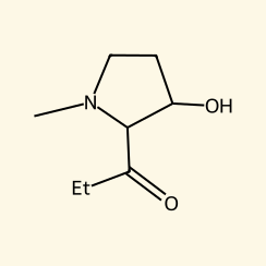 CCC(=O)C1C(O)CCN1C